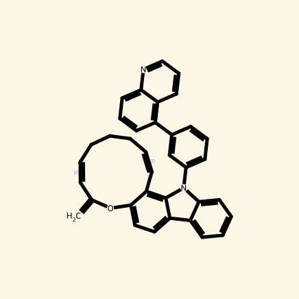 C=C1/C=C\CCC/C=C\c2c(ccc3c4ccccc4n(-c4cccc(-c5cccc6ncccc56)c4)c23)O1